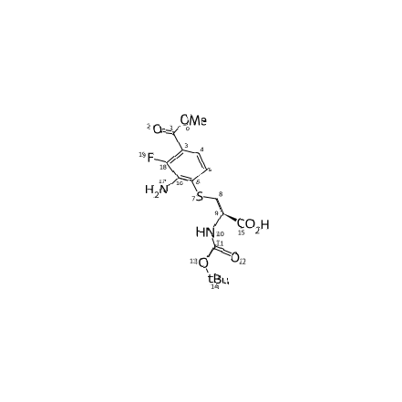 COC(=O)c1ccc(SC[C@H](NC(=O)OC(C)(C)C)C(=O)O)c(N)c1F